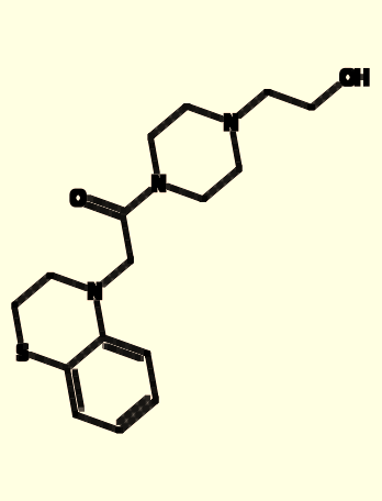 O=C(CN1CCSc2ccccc21)N1CCN(CCO)CC1